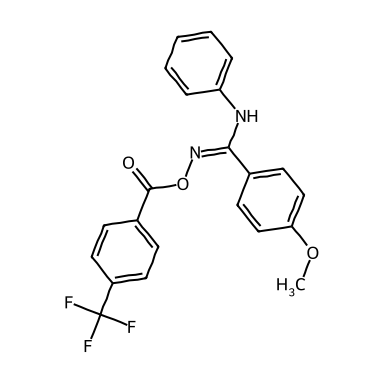 COc1ccc(/C(=N\OC(=O)c2ccc(C(F)(F)F)cc2)Nc2ccccc2)cc1